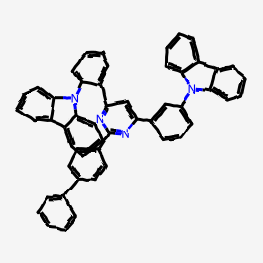 c1ccc(-c2ccc(-c3nc(-c4cccc(-n5c6ccccc6c6ccccc65)c4)cc(-c4ccccc4-n4c5ccccc5c5ccccc54)n3)cc2)cc1